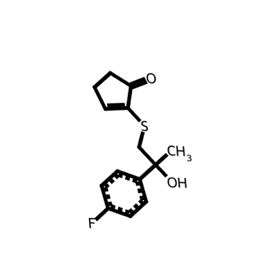 CC(O)(CSC1=CCCC1=O)c1ccc(F)cc1